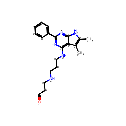 Cc1[nH]c2nc(-c3ccccc3)nc(NCCCNCCC=O)c2c1C